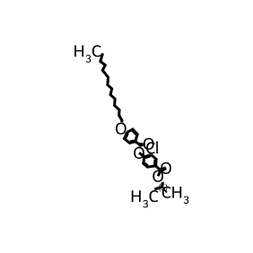 CCCCCCCCCCCCCCOc1ccc(C(=O)Oc2ccc(C(=O)OC[C@@H](C)CC)cc2Cl)cc1